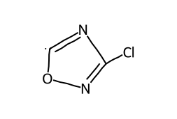 Clc1n[c]on1